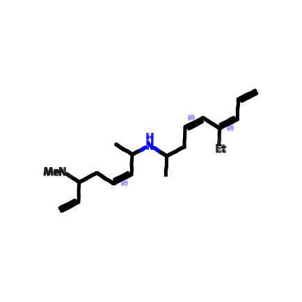 C=C/C=C(\C=C/CC(C)NC(C)/C=C\CC(C=C)NC)CC